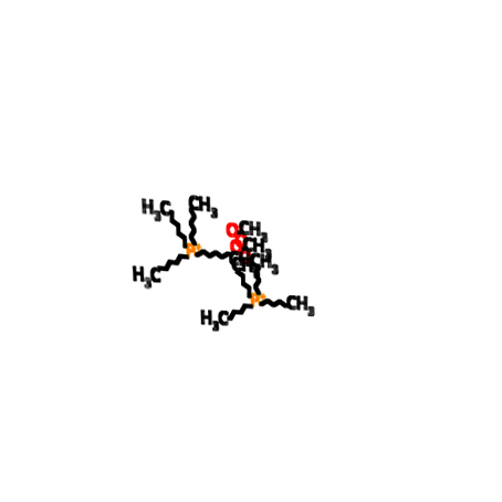 CC(=O)[O-].CC(=O)[O-].CCCCCCC[P+](CCCCCCC)(CCCCCCC)CCCCCCC.CCCCCC[P+](CCCCCC)(CCCCCC)CCCCCC